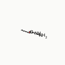 CCCCCCCC(C)(C)C(C)(C)OCCCNCCCN